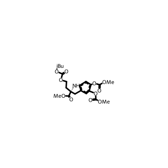 CC[C@H](C)OC(=O)OCC[C@@](N)(Cc1ccc(OC(=O)OC)c(OC(=O)OC)c1)C(=O)OC